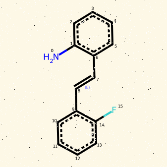 Nc1ccccc1/C=C/c1ccccc1F